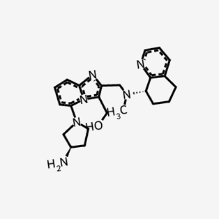 CN(Cc1nc2cccc(N3CC[C@@H](N)C3)n2c1CO)[C@H]1CCCc2cccnc21